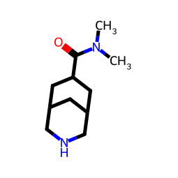 CN(C)C(=O)C1CC2CNCC(C2)C1